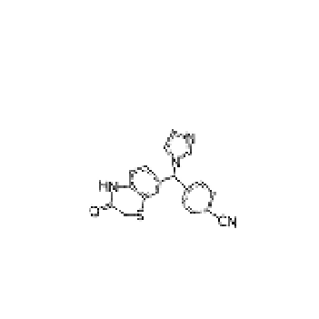 N#Cc1ccc(C(c2ccc3c(c2)SCC(=O)N3)n2ccnc2)cc1